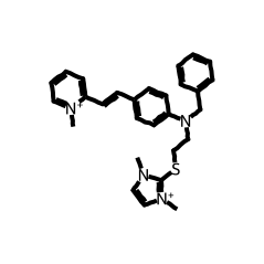 Cn1cc[n+](C)c1SCCN(Cc1ccccc1)c1ccc(/C=C/c2cccc[n+]2C)cc1